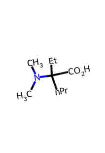 CCCC(CC)(C(=O)O)N(C)C